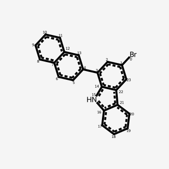 Brc1cc(-c2ccc3ccccc3c2)c2[nH]c3ccccc3c2c1